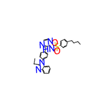 CCCCc1ccc(S(=O)(=O)Nc2nccnc2-c2ccc(-n3c(CC)nc4ccccc43)cc2)cc1